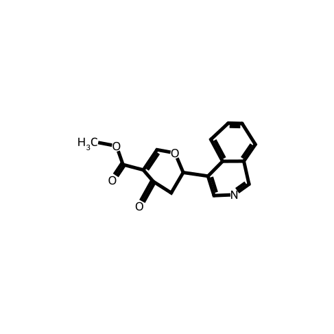 COC(=O)C1=COC(c2cncc3ccccc23)CC1=O